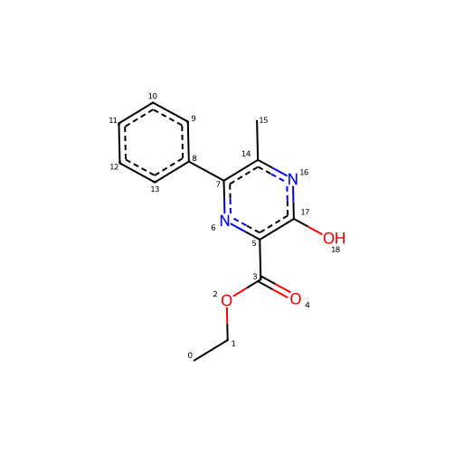 CCOC(=O)c1nc(-c2ccccc2)c(C)nc1O